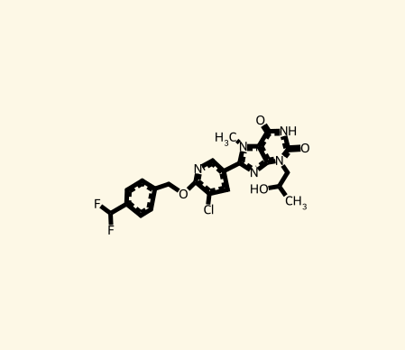 CC(O)Cn1c(=O)[nH]c(=O)c2c1nc(-c1cnc(OCc3ccc(C(F)F)cc3)c(Cl)c1)n2C